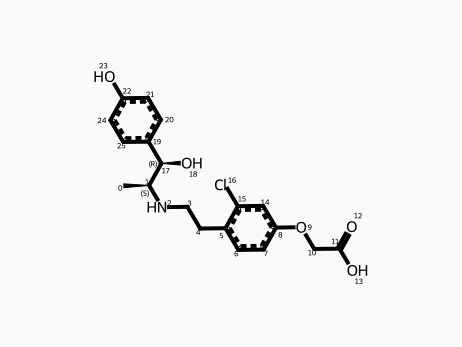 C[C@H](NCCc1ccc(OCC(=O)O)cc1Cl)[C@H](O)c1ccc(O)cc1